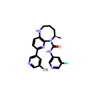 C[C@@H]1CCCNc2ccc(-c3cncc(C#N)c3)nc2N1C(=O)Nc1cncc(F)c1